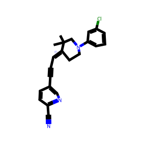 CC1(C)CN(c2cccc(Cl)c2)CC/C1=C\C#Cc1ccc(C#N)nc1